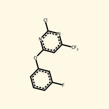 Fc1cccc(Oc2cc(C(F)(F)F)nc(Cl)n2)c1